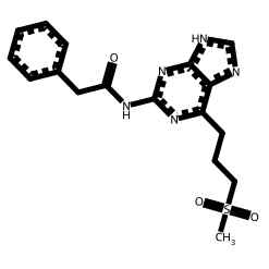 CS(=O)(=O)CCCc1nc(NC(=O)Cc2ccccc2)nc2[nH]cnc12